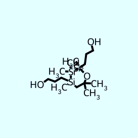 CC1(C)C[Si](C)(CCCO)[Si](C)(C)[Si](C)(CCCO)O1